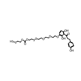 O=C(OCCSS)OCCSSCCOCCOCCOc1ccc(O)c(C(=O)CCc2ccc(O)cc2)c1O